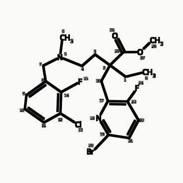 CCC(CCN(C)Cc1cccc(Cl)c1F)(Cc1nc(Br)ccc1F)C(=O)OC